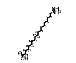 NNCCCCCCCCCCCCCCCCCCC(=O)O